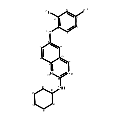 Fc1ccc(Oc2ccc3nc(NC4CCCCC4)ncc3c2)c(F)c1